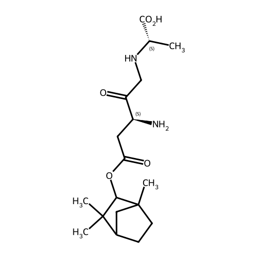 C[C@H](NCC(=O)[C@@H](N)CC(=O)OC1C2(C)CCC(C2)C1(C)C)C(=O)O